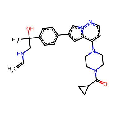 C=CNCC(C)(O)c1ccc(-c2cc3c(N4CCN(C(=O)C5CC5)CC4)ccnn3c2)cc1